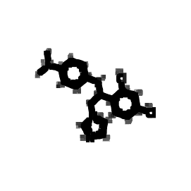 CN(C)c1ccc(SC(Cn2ccnc2)c2ccc(Cl)cc2Cl)cc1